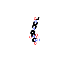 CCC(=O)N1CCC2(CC1)CCN(c1ccc3c(c1)C(=O)N(C1CCC(=O)NC1=O)C3=O)CC2